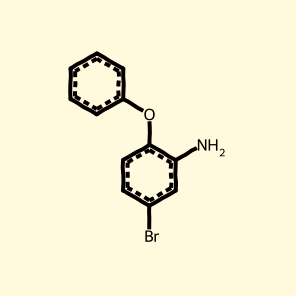 Nc1cc(Br)ccc1Oc1ccccc1